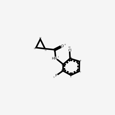 O=C(Nc1c(F)cccc1Cl)C1CC1